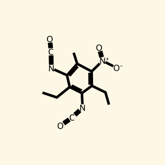 CCc1c(N=C=O)c(C)c([N+](=O)[O-])c(CC)c1N=C=O